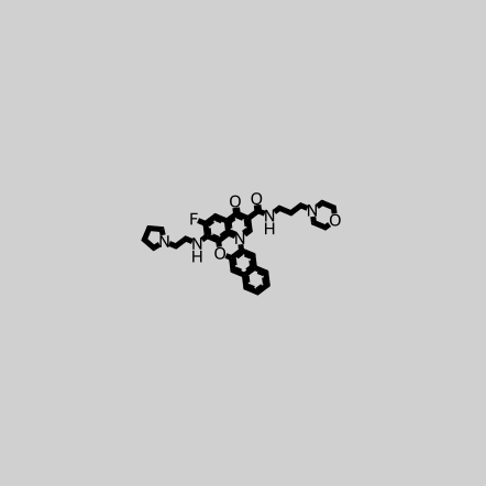 O=C(NCCCN1CCOCC1)c1cn2c3c(c(NCCN4CCCC4)c(F)cc3c1=O)Oc1cc3ccccc3cc1-2